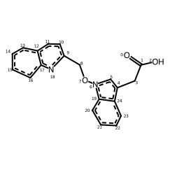 O=C(O)Cc1cn(OCc2ccc3ccccc3n2)c2ccccc12